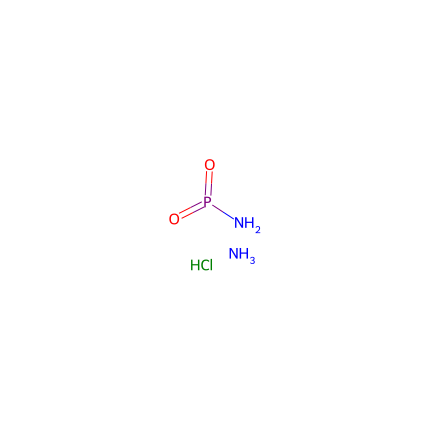 Cl.N.NP(=O)=O